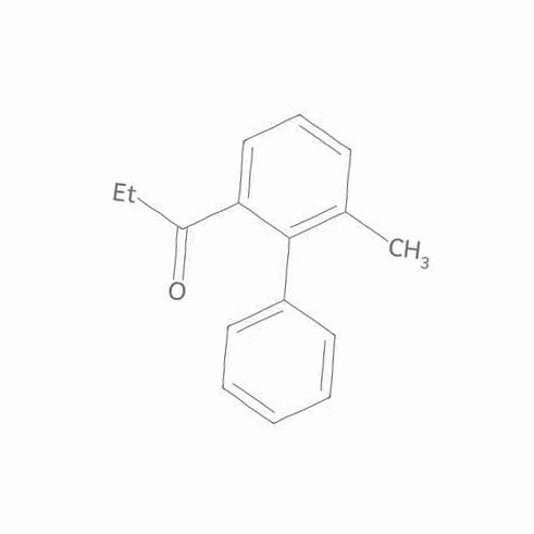 CCC(=O)c1cccc(C)c1-c1ccccc1